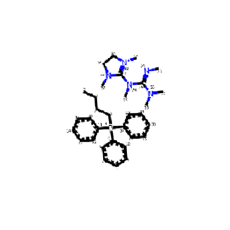 CCCC[B-](c1ccccc1)(c1ccccc1)c1ccccc1.CN=C(N(C)C)N(C)C1=[N+](C)CCN1C